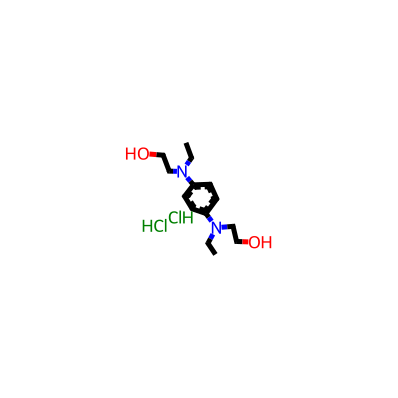 CCN(CCO)c1ccc(N(CC)CCO)cc1.Cl.Cl